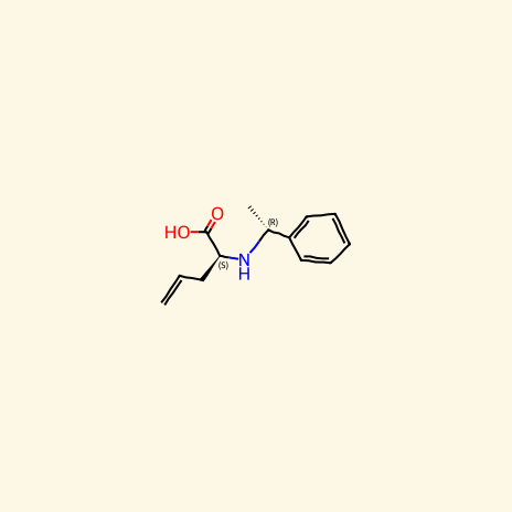 C=CC[C@H](N[C@H](C)c1ccccc1)C(=O)O